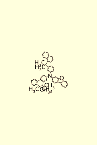 CC1(C)c2cc(N(c3ccc4c(c3)C(C)(C)C(C)(C)c3ccccc3-4)c3ccc4c(c3)oc3ccccc34)ccc2-c2ccc3ccccc3c21